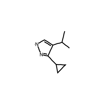 CC(C)C1=C[N]N=C1C1CC1